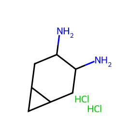 Cl.Cl.NC1CC2CC2CC1N